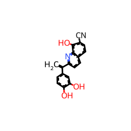 C=C(c1ccc(O)c(O)c1)c1ccc2ccc(C#N)c(O)c2n1